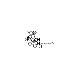 CCCCCCCCC(=O)Nc1cccc2c1C(=O)N([C@H](CS(C)(=O)=O)c1ccc(OC)c(OCC)c1)C2=O